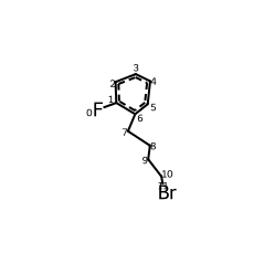 Fc1ccccc1CCCCBr